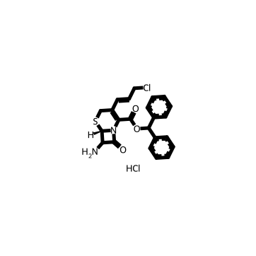 Cl.NC1C(=O)N2C(C(=O)OC(c3ccccc3)c3ccccc3)=C(C=CCCl)CS[C@@H]12